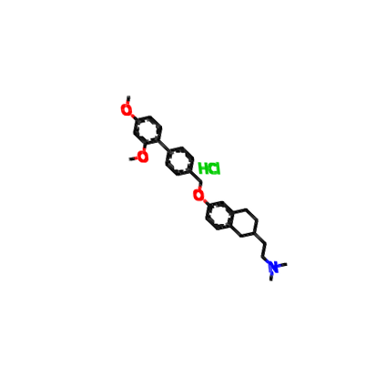 COc1ccc(-c2ccc(COc3ccc4c(c3)CCC(CCN(C)C)C4)cc2)c(OC)c1.Cl